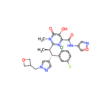 C[C@@H](c1nc(C(=O)Nc2cnoc2)c(O)c(=O)n1C)[C@@H](c1cnn(CC2COC2)c1)c1cc(F)ccc1Cl